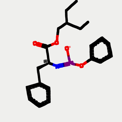 CCC(CC)COC(=O)[C@H](Cc1ccccc1)N=[P+]([O-])Oc1ccccc1